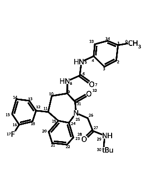 Cc1ccc(NC(=O)NC2CC(c3cccc(F)c3)c3ccccc3N(CC(=O)NC(C)(C)C)C2=O)cc1